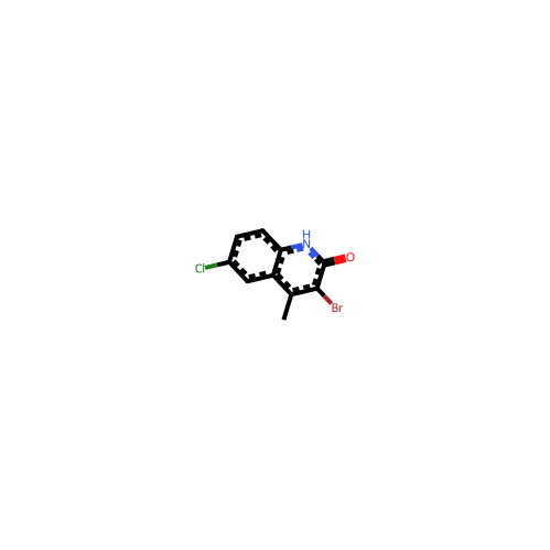 Cc1c(Br)c(=O)[nH]c2ccc(Cl)cc12